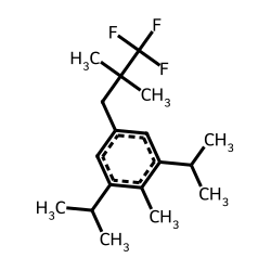 Cc1c(C(C)C)cc(CC(C)(C)C(F)(F)F)cc1C(C)C